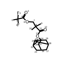 CC(F)(F)C(=O)OCC(C)(C)C(=O)OC12CC3CC(C1)C(=O)C(C3)C2